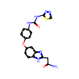 NC(=O)Cc1nc2cc(Oc3ccc(NC(=O)Nc4nncs4)cc3)ccc2[nH]1